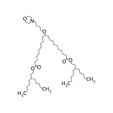 CCCCCC(CCCCC)CCOC(=O)CCCCCCCCCC(CCCCCCCCCC(=O)OCCC(CCCCC)CCCCC)OCCCCN1CCOCC1